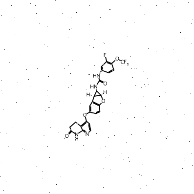 O=C1CCc2c(Oc3ccc4c(c3)[C@H]3[C@H](NC(=O)Nc5ccc(OC(F)(F)F)c(F)c5)[C@H]3O4)ccnc2N1